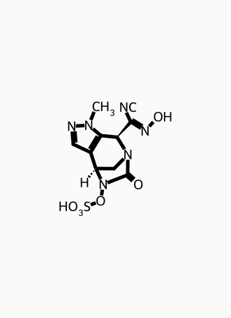 Cn1ncc2c1[C@@H](/C(C#N)=N/O)N1C[C@H]2N(OS(=O)(=O)O)C1=O